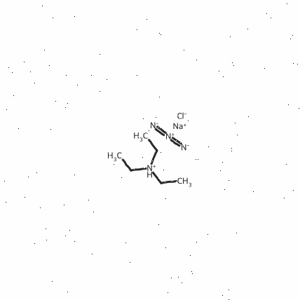 CC[NH+](CC)CC.[Cl-].[N-]=[N+]=[N-].[Na+]